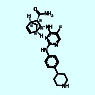 NC(=O)[C@@H]1[C@H](Nc2nc(Nc3ccc(C4CCNCC4)cc3)ncc2F)[C@H]2C=C[C@@H]1C2